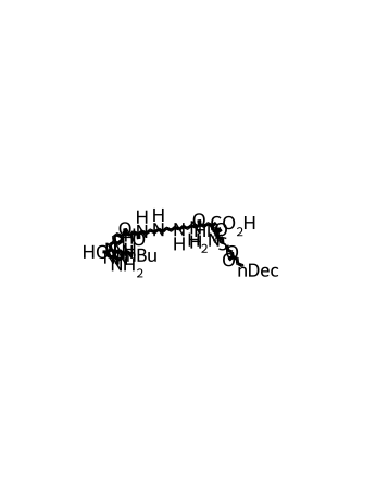 CCCCCCCCCCCCCC(=O)OCCSC[C@H](N)C(=O)NC(CCC(=O)NCCCNCCCCNCCCNC(=O)CNC(=O)c1ccc(Cn2c(O)nc3c(N)nc(NCCCC)nc32)cc1)C(=O)O